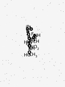 C#Cc1nc2[nH]cc(F)c2cc1Oc1cc(N2CCC3(CC2)CN([C@H]2CCC[C@H]2c2ccccc2C(C)C)C3)ccc1C(=O)NS(=O)(=O)c1ccc(NC[C@H]2CC[C@](C)(O)CC2)c([N+](=O)[O-])c1